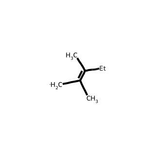 [CH2]/C(C)=C(\C)CC